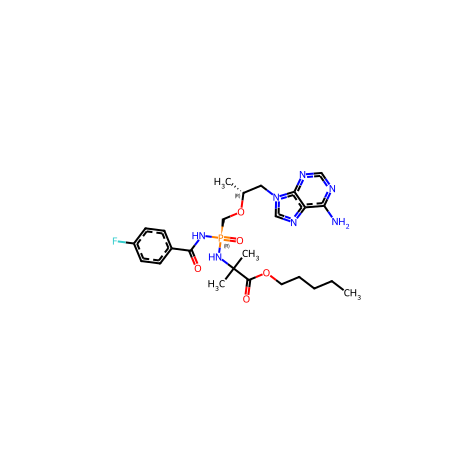 CCCCCOC(=O)C(C)(C)N[P@](=O)(CO[C@H](C)Cn1cnc2c(N)ncnc21)NC(=O)c1ccc(F)cc1